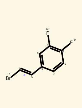 Fc1ccc(/C=C/Br)cc1F